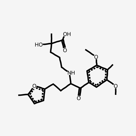 COc1cc(C(=O)C(CCc2ccc(C)o2)NCCCC(C)(O)C(=O)O)cc(OC)c1C